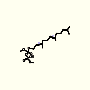 COP(=O)(O)OP(=O)(OC)OC/C=C(\C)CC/C=C(\C)CCC=C(C)C